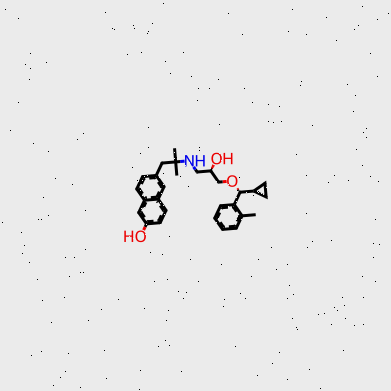 Cc1ccccc1[C@H](OC[C@H](O)CNC(C)(C)Cc1ccc2cc(O)ccc2c1)C1CC1